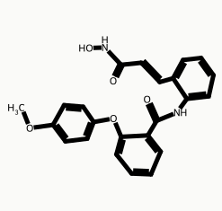 COc1ccc(Oc2ccccc2C(=O)Nc2ccccc2C=CC(=O)NO)cc1